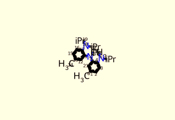 Cc1ccc(N(C(C)C)C(C)C)c(N(C)c2cc(C)ccc2N(C(C)C)C(C)C)c1